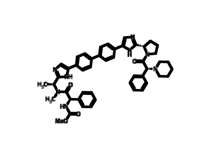 COC(=O)N[C@@H](C(=O)N(C)[C@@H](C)c1ncc(-c2ccc(-c3ccc(-c4cnc([C@@H]5CCCN5C(=O)[C@@H](c5ccccc5)N5CCCCC5)[nH]4)cc3)cc2)[nH]1)c1ccccc1